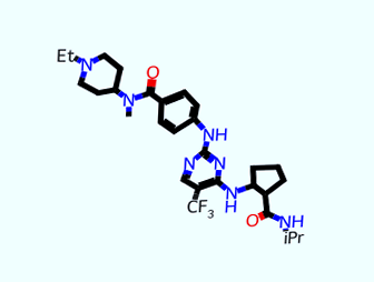 CCN1CCC(N(C)C(=O)c2ccc(Nc3ncc(C(F)(F)F)c(NC4CCCC4C(=O)NC(C)C)n3)cc2)CC1